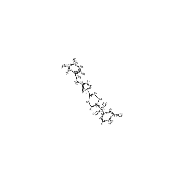 O=S(=O)(c1ccc(F)c(Cl)c1)N1CCN(c2nc(Cc3ccc(F)c(F)c3)cs2)CC1